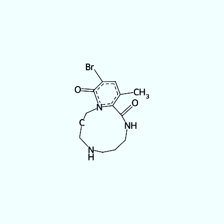 Cc1cc(Br)c(=O)n2c1C(=O)NCCCNCCC2